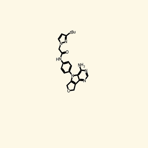 CC(C)(C)c1ccn(CC(=O)Nc2ccc(-n3c4c(c5ncnc(N)c53)COC4)cc2)n1